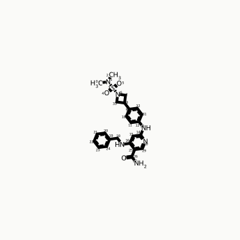 CN(C)S(=O)(=O)N1CC(c2ccc(Nc3cc(NCc4ccccc4)c(C(N)=O)cn3)cc2)C1